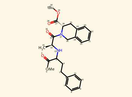 COC(=O)C(CCc1ccccc1)N[C@@H](C)C(=O)N1Cc2ccccc2C[C@H]1C(=O)OC(C)(C)C